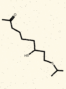 CC(=O)CCCCC(S)CCSC(C)C